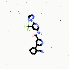 N#Cc1ccccc1-c1cncc(C(=O)Nc2cnc(-n3nccn3)c(C(F)(F)F)c2)c1